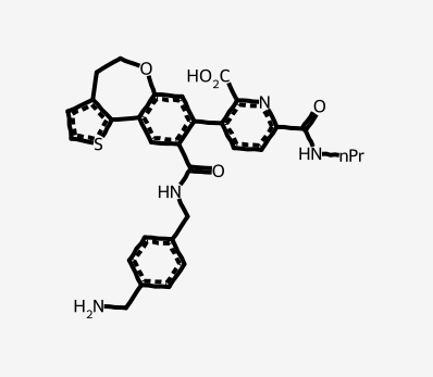 CCCNC(=O)c1ccc(-c2cc3c(cc2C(=O)NCc2ccc(CN)cc2)-c2sccc2CCO3)c(C(=O)O)n1